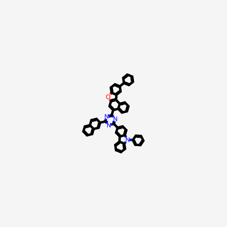 c1ccc(-c2ccc3oc4cc(-c5nc(-c6ccc7ccccc7c6)nc(-c6ccc7c(c6)c6ccccc6n7-c6ccccc6)n5)c5ccccc5c4c3c2)cc1